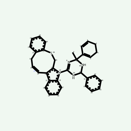 CC1(C2=CCCC=C2)N=C(n2c3c(c4ccccc42)/C=C\Cc2ccccc2SC3)NC(c2ccccc2)N1